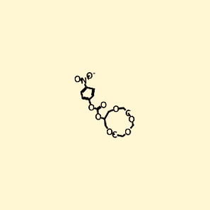 O=C(Oc1ccc([N+](=O)[O-])cc1)OC1COCCOCOCCOC1